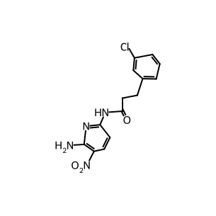 Nc1nc(NC(=O)CCc2cccc(Cl)c2)ccc1[N+](=O)[O-]